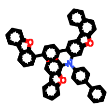 c1ccc(-c2ccc(N(c3cc4oc5ccc6ccccc6c5c4cc3-c3ccc(-c4cccc5c4oc4ccccc45)cc3)c3cccc4c3oc3ccccc34)cc2)cc1